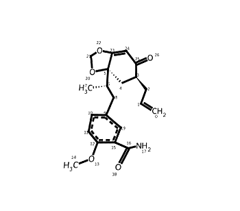 C=CC[C@H]1C[C@]2([C@@H](C)Cc3ccc(OC)c(C(N)=O)c3)OCOC2=CC1=O